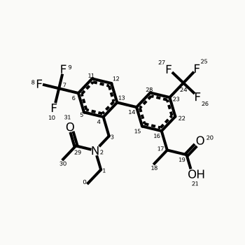 CCN(Cc1cc(C(F)(F)F)ccc1-c1cc(C(C)C(=O)O)cc(C(F)(F)F)c1)C(C)=O